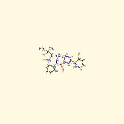 CC1(C)CCN(c2cccnc2NC(=O)c2nc(-c3ncccc3F)cnc2N)CC1